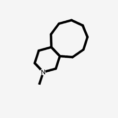 CN1CCC2CCCCCCCC2C1